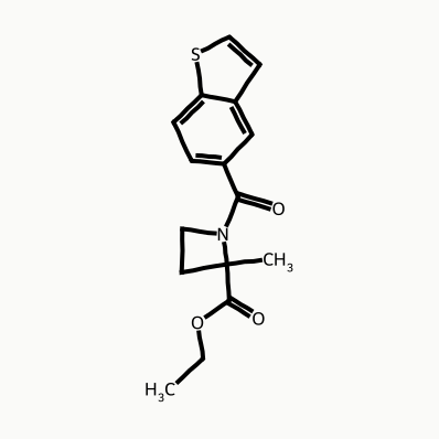 CCOC(=O)C1(C)CCN1C(=O)c1ccc2sccc2c1